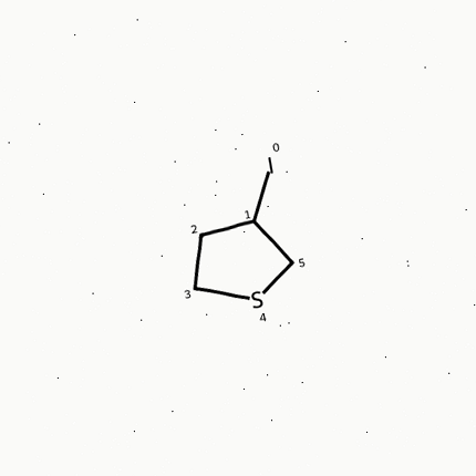 IC1CCSC1